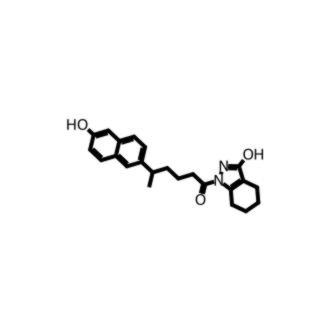 CC(CCCC(=O)n1nc(O)c2c1CCCC2)c1ccc2cc(O)ccc2c1